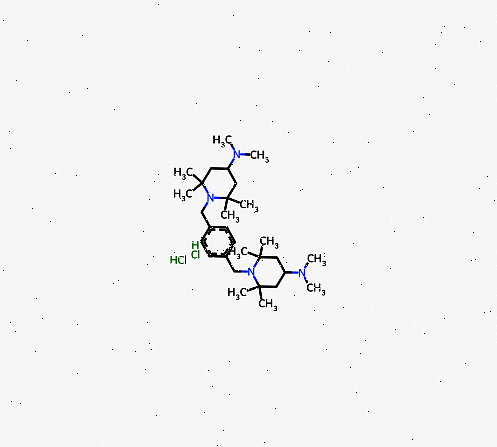 CN(C)C1CC(C)(C)N(Cc2ccc(CN3C(C)(C)CC(N(C)C)CC3(C)C)cc2)C(C)(C)C1.Cl.Cl